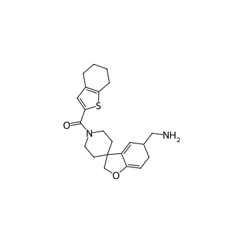 NCC1C=C2C(=CC1)OCC21CCN(C(=O)c2cc3c(s2)CCCC3)CC1